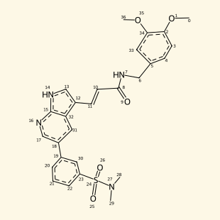 COc1ccc(CNC(=O)/C=C/c2c[nH]c3ncc(-c4cccc(S(=O)(=O)N(C)C)c4)cc23)cc1OC